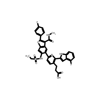 CCS(=O)(=O)Nc1cc2oc(-c3ccc(F)cc3)c(C(=O)NC)c2cc1-c1ccc(CCC(=O)O)c(-c2cc3c(F)cccc3[nH]2)n1